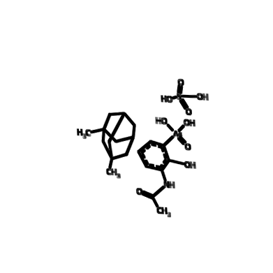 CC(=O)Nc1cccc([As](=O)(O)O)c1O.CC12CC3CC(C1)CC(C)(C3)C2.O=S(=O)(O)O